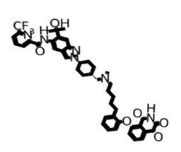 CN(CCCCCc1ccccc1Oc1cccc2c1C(=O)NC(=O)C2=O)C[C@H]1CC[C@H](n2cc3cc(NC(=O)c4cccc(C(F)(F)F)n4)c(C(C)(C)O)cc3n2)CC1